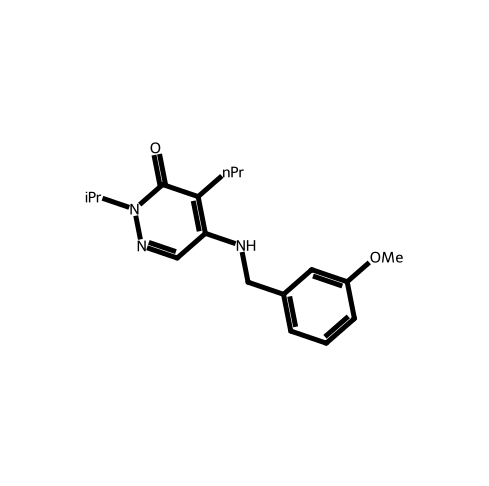 CCCc1c(NCc2cccc(OC)c2)cnn(C(C)C)c1=O